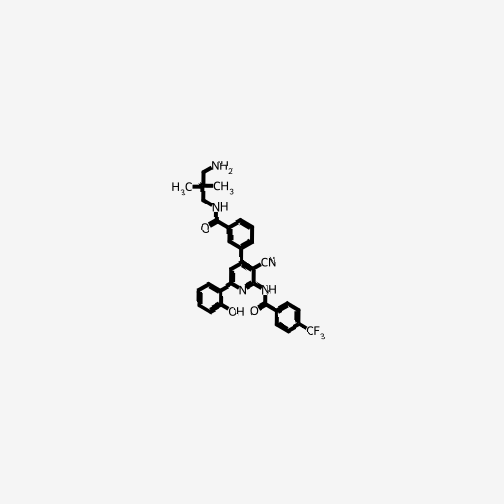 CC(C)(CN)CNC(=O)c1cccc(-c2cc(-c3ccccc3O)nc(NC(=O)c3ccc(C(F)(F)F)cc3)c2C#N)c1